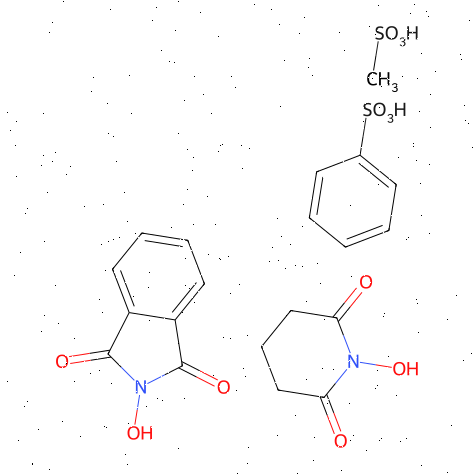 CS(=O)(=O)O.O=C1CCCC(=O)N1O.O=C1c2ccccc2C(=O)N1O.O=S(=O)(O)c1ccccc1